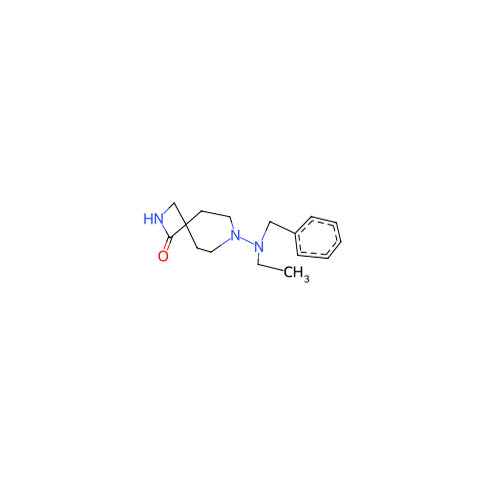 CCN(Cc1ccccc1)N1CCC2(CC1)CNC2=O